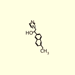 CCc1ccc2cc(C(O)Cn3ccnc3)ccc2c1